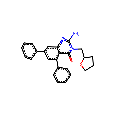 Nc1nc2cc(-c3ccccc3)cc(-c3ccccc3)c2c(=O)n1CC1CCCO1